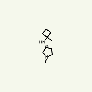 CN1CC[C@@H](NC2(C)CCC2)C1